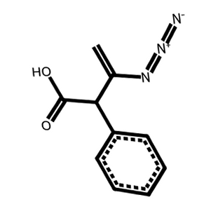 C=C(N=[N+]=[N-])C(C(=O)O)c1ccccc1